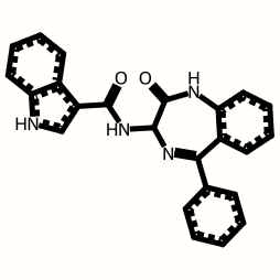 O=C(NC1N=C(c2ccccc2)c2ccccc2NC1=O)c1c[nH]c2ccccc12